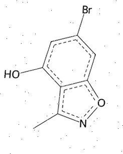 Cc1noc2cc(Br)cc(O)c12